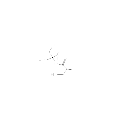 CC(CS)C(=O)OC(C)(C)CO